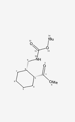 COC(=O)[C@@H]1CCCC[C@@H]1CNC(=O)OC(C)(C)C